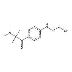 CN(C)C(C)(C)C(=O)c1ccc(NCCO)cc1